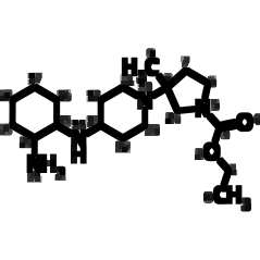 CCOC(=O)N1CCC(C)(N2CCC(NC3CCCCC3N)CC2)C1